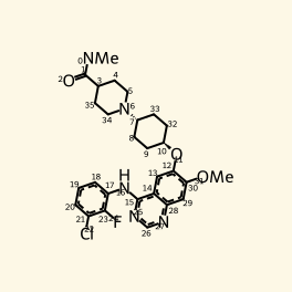 CNC(=O)C1CCN([C@H]2CC[C@H](Oc3cc4c(Nc5cccc(Cl)c5F)ncnc4cc3OC)CC2)CC1